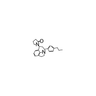 CCCc1ccc(C2CC(N3CCCC3=O)c3cccc4c3N2CC4)cc1